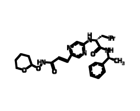 CC(C)C[C@@H](Nc1cnc(/C=C/C(=O)NOC2CCCCO2)cn1)C(=O)N[C@@H](C)c1ccccc1